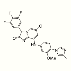 COc1cc(NC2=CC(Cl)=CN3C2=NC(=O)C3c2cc(F)c(F)c(F)c2)ccc1-n1cnc(C)c1